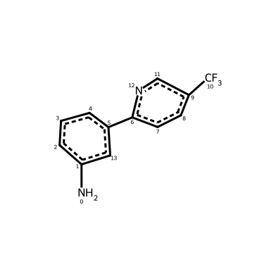 Nc1cccc(-c2ccc(C(F)(F)F)cn2)c1